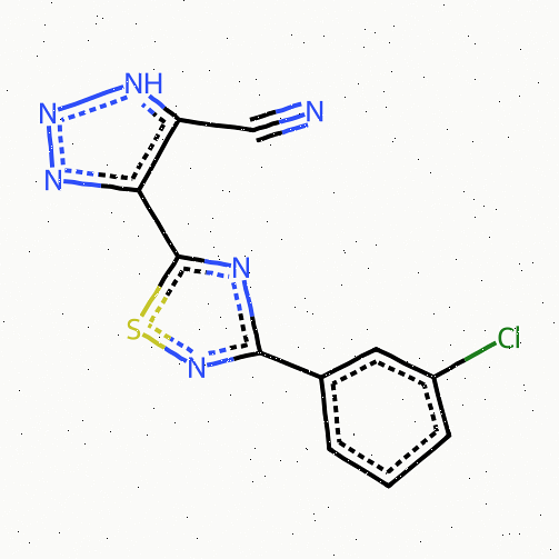 N#Cc1[nH]nnc1-c1nc(-c2cccc(Cl)c2)ns1